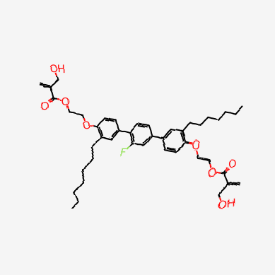 C=C(CO)C(=O)OCCOc1ccc(-c2ccc(-c3ccc(OCCOC(=O)C(=C)CO)c(CCCCCCC)c3)c(F)c2)cc1CCCCCCC